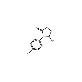 CC(C)C1CCC(=O)N1c1ncc(Cl)cn1